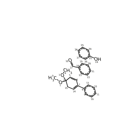 COC1(OC)C=CC(c2ccccc2)=CC1.O=Cc1ccccc1.Oc1ccccc1